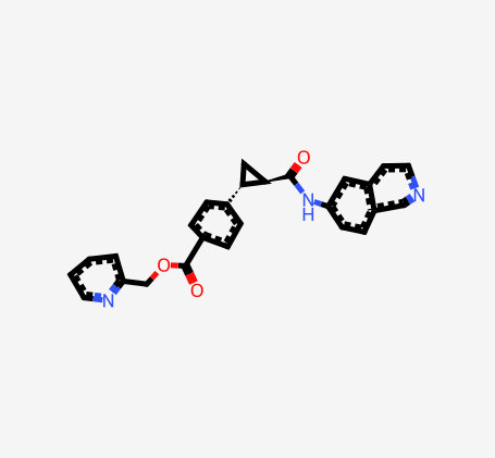 O=C(OCc1ccccn1)c1ccc([C@@H]2C[C@H]2C(=O)Nc2ccc3cnccc3c2)cc1